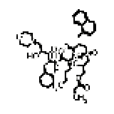 CCCC[C@H](NC(=O)[C@H](Cc1cccc2ccccc12)CS(=O)(=O)CC(O)COC(=O)CC)C(=O)N[C@@H](CC1CCCCC1)[C@@H](O)[C@@H](O)CN1CCOCC1